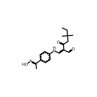 CCC(C)(C)CC(=O)/C(C=O)=C\Nc1ccc(/C(C)=N/O)cc1